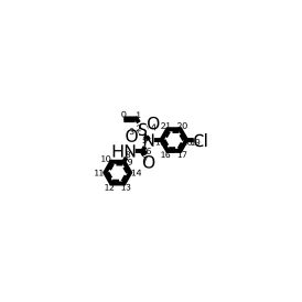 C=CS(=O)(=O)N(C(=O)Nc1ccccc1)c1ccc(Cl)cc1